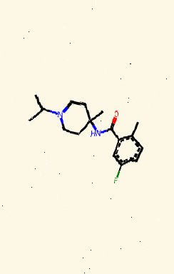 Cc1ccc(F)cc1C(=O)NC1(C)CCN(C(C)C)CC1